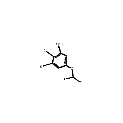 Nc1cc(OC(F)F)cc(Br)c1Cl